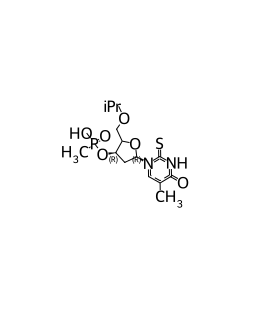 Cc1cn([C@H]2C[C@@H](OP(C)(=O)O)C(COC(C)C)O2)c(=S)[nH]c1=O